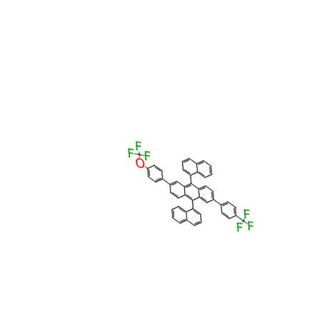 FC(F)(F)Oc1ccc(-c2ccc3c(-c4cccc5ccccc45)c4cc(-c5ccc(C(F)(F)F)cc5)ccc4c(-c4cccc5ccccc45)c3c2)cc1